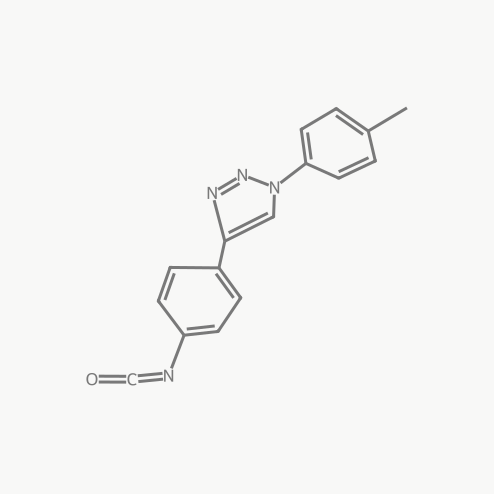 Cc1ccc(-n2cc(-c3ccc(N=C=O)cc3)nn2)cc1